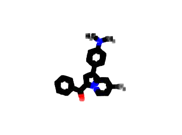 CN(C)c1ccc(-c2cc(C(=O)c3ccccc3)n3ccc(C(F)(F)F)cc23)cc1